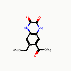 COCc1cc2[nH]c(=O)c(=O)[nH]c2cc1C(=O)OC